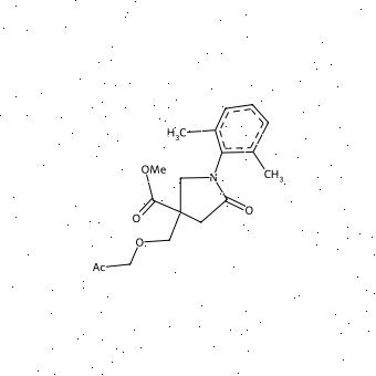 COC(=O)C1(COCC(C)=O)CC(=O)N(c2c(C)cccc2C)C1